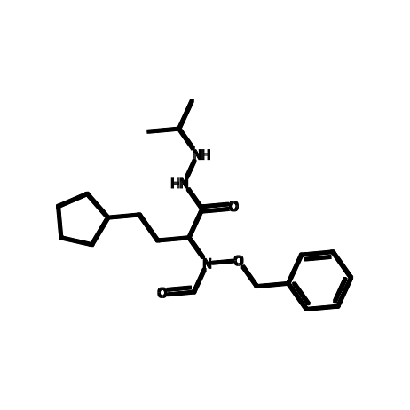 CC(C)NNC(=O)C(CCC1CCCC1)N(C=O)OCc1ccccc1